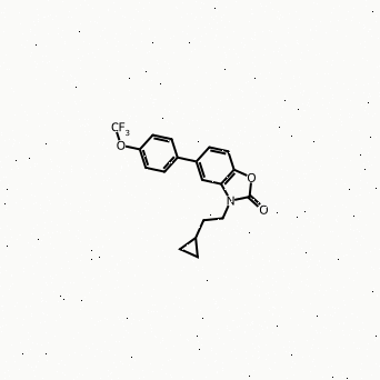 O=c1oc2ccc(-c3ccc(OC(F)(F)F)cc3)cc2n1CCC1CC1